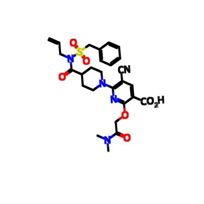 C=CCN(C(=O)C1CCN(c2nc(OCC(=O)N(C)C)c(C(=O)O)cc2C#N)CC1)S(=O)(=O)Cc1ccccc1